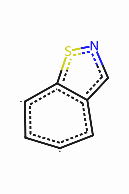 [c]1c[c]c2sncc2c1